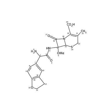 COC1(NC(=O)C(N)c2ccc3c(c2)CCO3)C(=O)N2C(C(=O)O)=C(C)CSC21